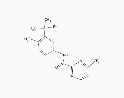 CCC(C)(C)c1cc(NC(=O)c2nccc(C(F)(F)F)n2)ccc1C